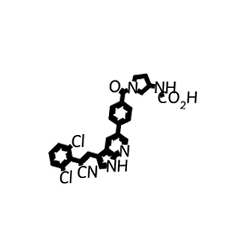 N#CC(=Cc1c[nH]c2ncc(-c3ccc(C(=O)N4CCC(NC(=O)O)C4)cc3)cc12)c1c(Cl)cccc1Cl